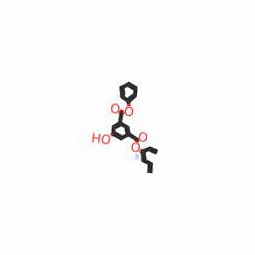 C=C/C=C(\C=C)OC(=O)c1cc(O)cc(C(=O)Oc2ccccc2)c1